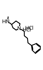 CNC1CCN(CCCCc2ccccc2)CC1.Cl.Cl